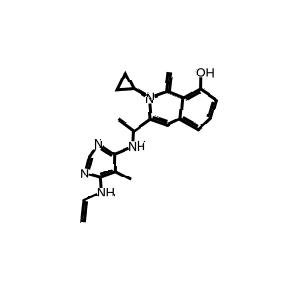 C=CNc1ncnc(NC(C)C2=Cc3cccc(O)c3C(=C)N2C2CC2)c1C